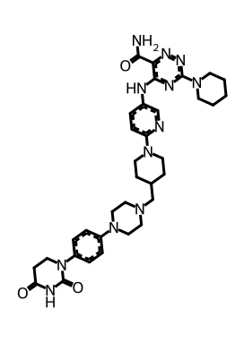 NC(=O)c1nnc(N2CCCCC2)nc1Nc1ccc(N2CCC(CN3CCN(c4ccc(N5CCC(=O)NC5=O)cc4)CC3)CC2)nc1